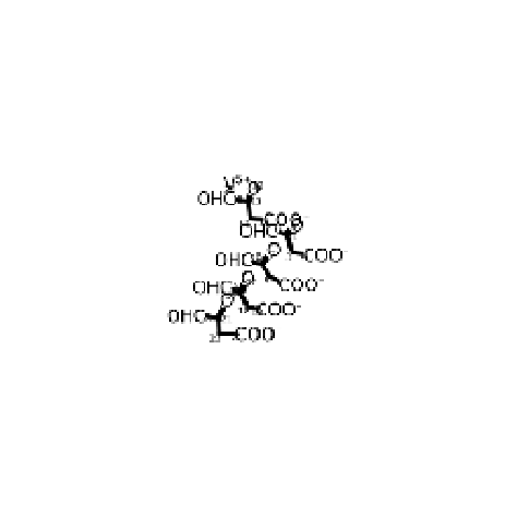 O=CC(=O)CC(=O)[O-].O=CC(=O)CC(=O)[O-].O=CC(=O)CC(=O)[O-].O=CC(=O)CC(=O)[O-].O=CC(=O)CC(=O)[O-].[V+5]